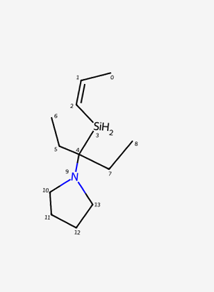 C/C=C\[SiH2]C(CC)(CC)N1CCCC1